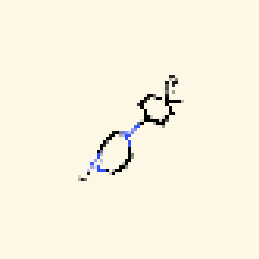 CCC1(C)CCC(N2CCN(C(C)=O)CC2)CC1